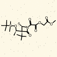 COC(=O)COC(=O)C(=O)N1C(=O)[C@@]([C@@H](C)O[Si](C)(C)C(C)(C)C)(C(C)(C)C)[C@H]1[S]